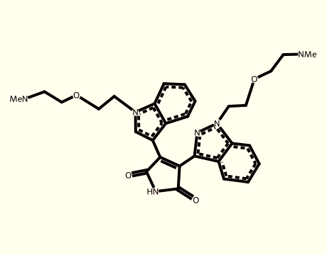 CNCCOCCn1cc(C2=C(c3nn(CCOCCNC)c4ccccc34)C(=O)NC2=O)c2ccccc21